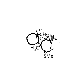 CSN1COCC(C)(C)C(C)(C)CC(C)(C2CCCCCCC(C)(C)C2)C1